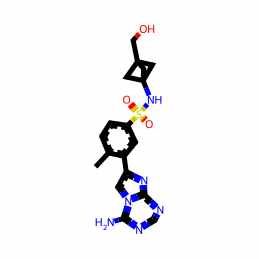 Cc1ccc(S(=O)(=O)NC23CC(CO)(C2)C3)cc1-c1cn2c(N)ncnc2n1